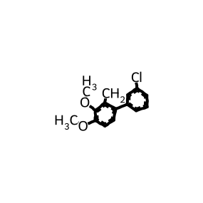 [CH2]c1c(-c2cccc(Cl)c2)ccc(OC)c1OC